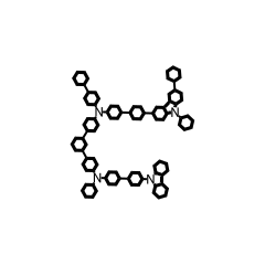 c1ccc(-c2ccc(N(c3ccc(-c4ccc(-c5ccc6c(c5)c5cc(-c7ccccc7)ccc5n6-c5ccccc5)cc4)cc3)c3ccc(-c4cccc(-c5ccc(N(c6ccccc6)c6ccc(-c7ccc(-n8c9ccccc9c9ccccc98)cc7)cc6)cc5)c4)cc3)cc2)cc1